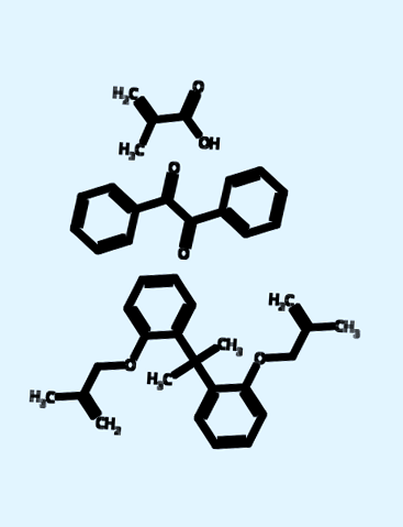 C=C(C)C(=O)O.C=C(C)COc1ccccc1C(C)(C)c1ccccc1OCC(=C)C.O=C(C(=O)c1ccccc1)c1ccccc1